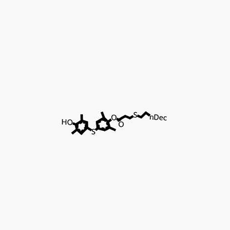 CCCCCCCCCCCCSCCC(=O)Oc1c(C)cc(Sc2cc(C)c(O)c(C)c2)cc1C